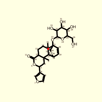 CC12CC(c3ccoc3)OC(=O)C1CCC1(C)C2C2C=CC1(OC1OC(CO)C(O)C(O)C1O)C(=O)O2